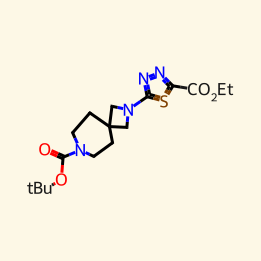 CCOC(=O)c1nnc(N2CC3(CCN(C(=O)OC(C)(C)C)CC3)C2)s1